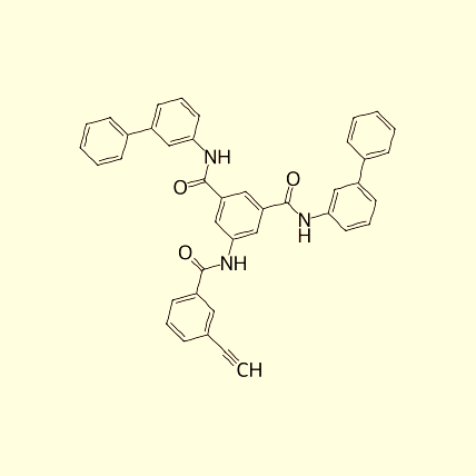 C#Cc1cccc(C(=O)Nc2cc(C(=O)Nc3cccc(-c4ccccc4)c3)cc(C(=O)Nc3cccc(-c4ccccc4)c3)c2)c1